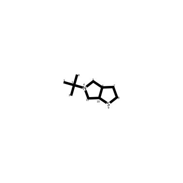 CC(C)(C)N1CC2CCSC2C1